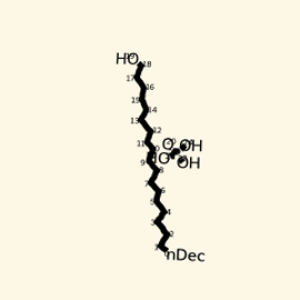 CCCCCCCCCCCCCCCCCCCCCCCCCCCCO.O=P(O)(O)O